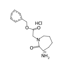 Cl.N[C@H]1CCCCN(CC(=O)OCc2ccccc2)C1=O